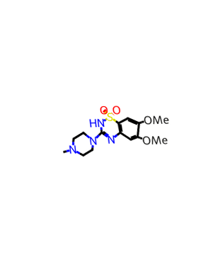 COc1cc2c(cc1OC)S(=O)(=O)NC(N1CCN(C)CC1)=N2